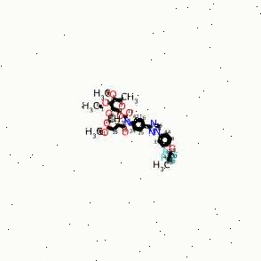 CCO[C@@H]1[C@@H](OC)[C@H](C)O[C@@H](OC(=O)N(C(=O)CCC(=O)OC)c2ccc(-c3ncn(-c4ccc(OC(F)(F)C(C)(F)F)cc4)n3)cc2)[C@@H]1OC